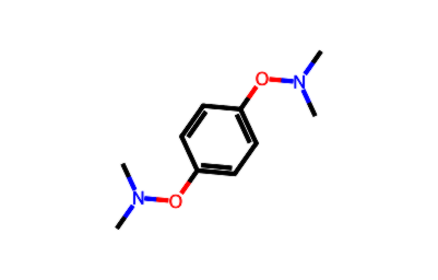 CN(C)Oc1ccc(ON(C)C)cc1